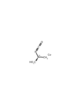 C[C@H](N=C=O)C(=O)O.[Co]